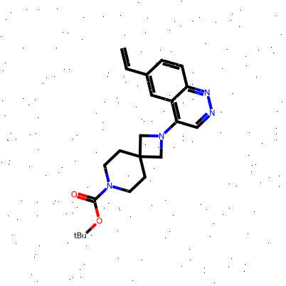 C=Cc1ccc2nncc(N3CC4(CCN(C(=O)OC(C)(C)C)CC4)C3)c2c1